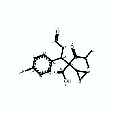 CC(C)C(=O)C(C(=O)O)(C1CC1)C(CC=O)c1ccc(F)cc1